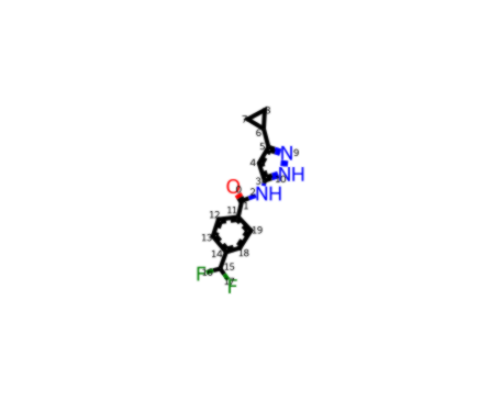 O=C(Nc1cc(C2CC2)n[nH]1)c1ccc(C(F)F)cc1